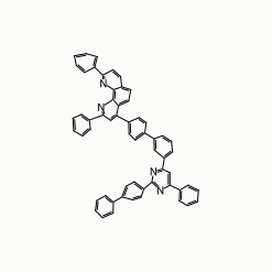 c1ccc(-c2ccc(-c3nc(-c4ccccc4)cc(-c4cccc(-c5ccc(-c6cc(-c7ccccc7)nc7c6ccc6ccc(-c8ccccc8)nc67)cc5)c4)n3)cc2)cc1